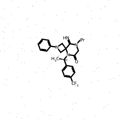 CC(C)N1CC(=O)N([C@H](C)c2ccc(C(F)(F)F)cc2)C2(CN(c3ccccc3)C2)C1=N